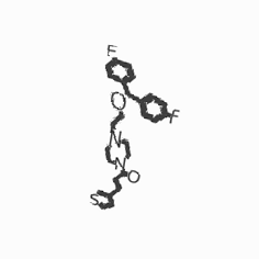 O=C(C=Cc1ccsc1)N1CCN(CCOC(c2ccc(F)cc2)c2ccc(F)cc2)CC1